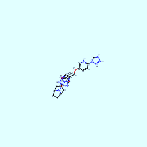 Cc1cnc(N2C3CCC2CC(n2ncc(COc4ccc(-n5cnnn5)nc4)n2)C3)nc1